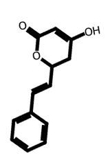 O=C1C=C(O)CC(C=Cc2ccccc2)O1